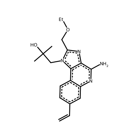 C=Cc1ccc2c(c1)nc(N)c1nc(COCC)n(CC(C)(C)O)c12